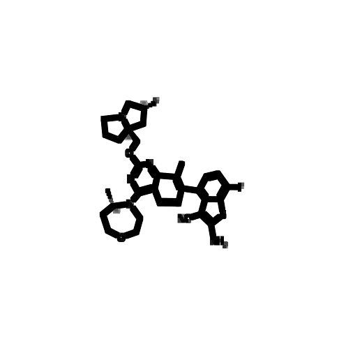 Cc1c(-c2ccc(F)c3sc(N)c(C#N)c23)ccc2c(N3CCOCC[C@@H]3C)nc(OC[C@@]34CCCN3C[C@H](F)C4)nc12